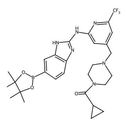 CC1(C)OB(c2ccc3nc(Nc4cc(CN5CCN(C(=O)C6CC6)CC5)cc(C(F)(F)F)n4)[nH]c3c2)OC1(C)C